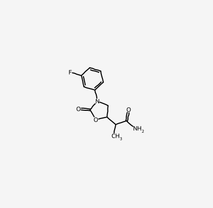 CC(C(N)=O)C1CN(c2cccc(F)c2)C(=O)O1